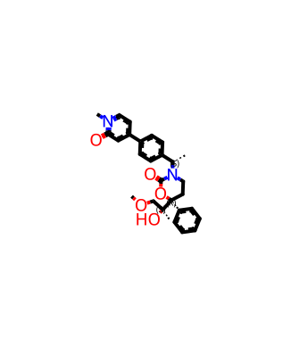 COC[C@](C)(O)[C@]1(c2ccccc2)CCN([C@@H](C)c2ccc(-c3ccn(C)c(=O)c3)cc2)C(=O)O1